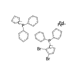 Brc1cc[c-](P(c2ccccc2)c2ccccc2)c1Br.[Fe+2].[Pd].c1ccc(P(c2ccccc2)[c-]2cccc2)cc1